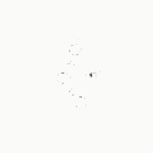 CCc1cc(C)cc(CC)c1N=Cc1cc(C)cc(C=Nc2c(CC)cc(C)cc2CC)n1.[Cl-].[Cl-].[Co+2]